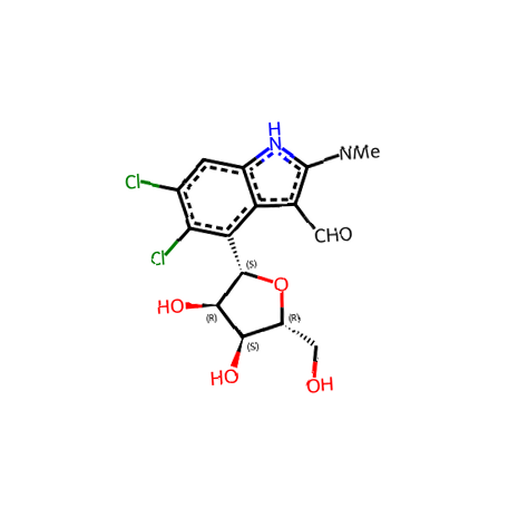 CNc1[nH]c2cc(Cl)c(Cl)c([C@@H]3O[C@H](CO)[C@@H](O)[C@H]3O)c2c1C=O